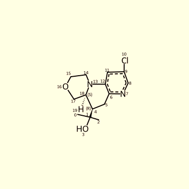 CC(C)(O)[C@@H]1Cc2ncc(Cl)cc2N2CCOC[C@H]12